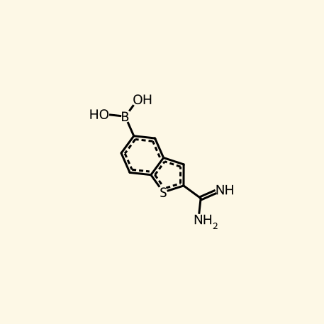 N=C(N)c1cc2cc(B(O)O)ccc2s1